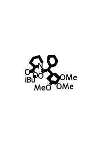 CCC(C)OC(=O)C1CCCCN1C(=O)C(c1cc(OC)c(OC)c(OC)c1)C1CCCCC1